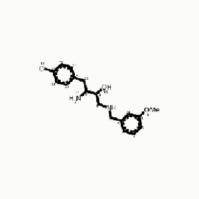 COc1cccc(CNCC(O)C(N)Cc2ccc(Cl)cc2)c1